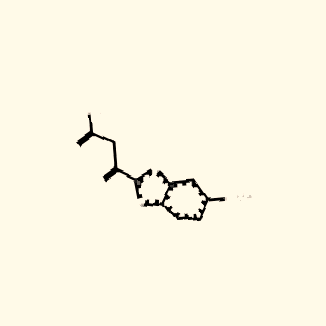 COc1ccc2nc(C(=O)CC(=O)C(F)(F)F)sc2c1